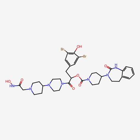 O=C(CN1CCC(N2CCN(C(=O)C(Cc3cc(Br)c(O)c(Br)c3)OC(=O)N3CCC(N4CCc5ccccc5NC4=O)CC3)CC2)CC1)NO